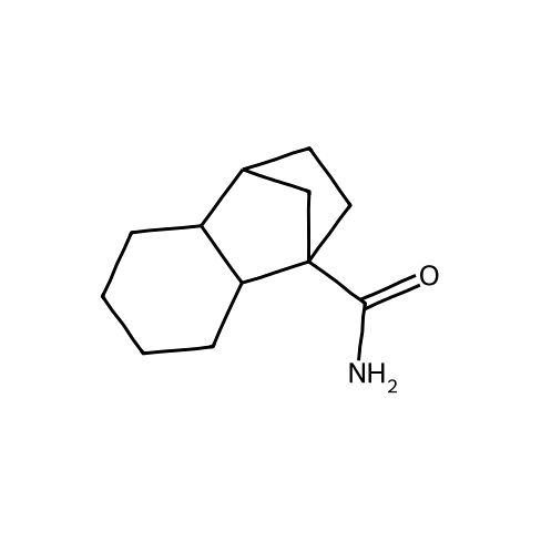 NC(=O)C12CCC(C1)C1CCCCC12